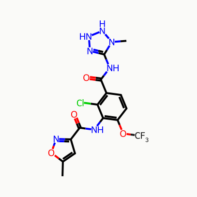 Cc1cc(C(=O)Nc2c(OC(F)(F)F)ccc(C(=O)NC3=NNNN3C)c2Cl)no1